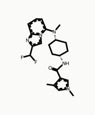 Cc1cn(C)cc1C(=O)N[C@H]1CC[C@@H](N(C)c2cccc3nc(C(F)F)cn23)CC1